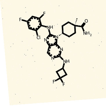 C[C@]1(C(N)=O)CC[C@H](n2c(Nc3c(F)cc(F)cc3Cl)nc3cnc(NC4CC(F)(F)C4)nc32)CC1